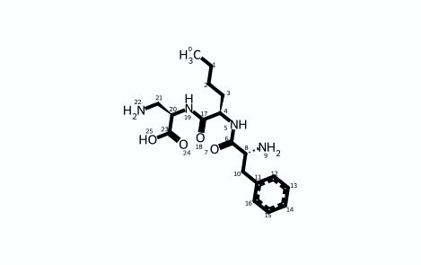 CCCC[C@@H](NC(=O)[C@H](N)Cc1ccccc1)C(=O)N[C@H](CN)C(=O)O